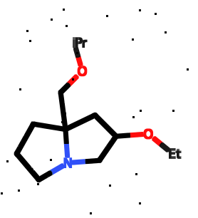 CCOC1CN2CCCC2(COC(C)C)C1